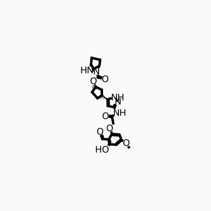 COc1cc(O)c(C=O)c(OCC(=O)Nc2cc([C@H]3CC[C@@H](OC(=O)N4NC5CCC4C5)C3)[nH]n2)c1